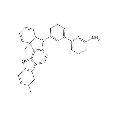 CC1C=Cc2oc3c4c(ccc3c2C1)N(C1=CC(C2=CCCC(N)=N2)=CCC1)C1C=CC=CC41C